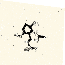 CC(=O)Sc1ccc(C)cc1/C=N/[S+]([O-])C(C)(C)C.CC(O)=S